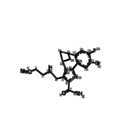 COCCNCc1c(C(N)=O)nc2n1C1CC(C1)c1cc(F)c(Br)cc1-2